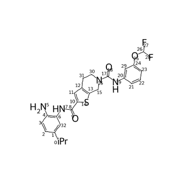 CC(C)c1ccc(N)c(NC(=O)c2cc3c(s2)CN(C(=O)Nc2cccc(OC(F)F)c2)CC3)c1